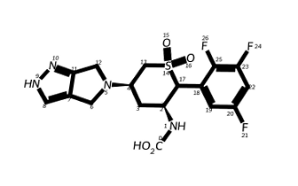 O=C(O)N[C@H]1C[C@@H](N2Cc3c[nH]nc3C2)CS(=O)(=O)C1c1cc(F)cc(F)c1F